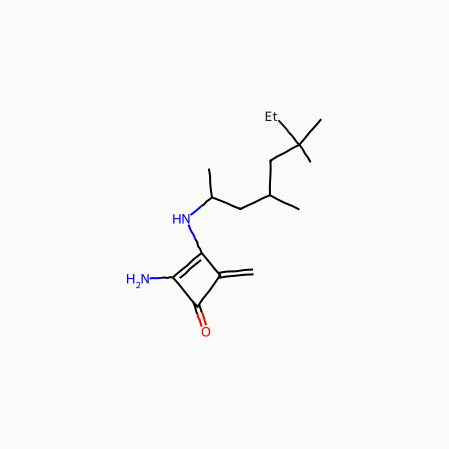 C=C1C(=O)C(N)=C1NC(C)CC(C)CC(C)(C)CC